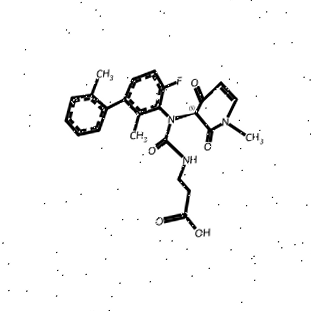 Cc1ccccc1-c1ccc(F)c(N(C(=O)NCCC(=O)O)[C@H]2C(=O)C=CN(C)C2=O)c1C